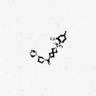 O=C(N1CC[C@H](n2cnnn2)C1)N1CC2(C1)CN(S(=O)(=O)c1ccc(F)cc1C(F)(F)F)C2